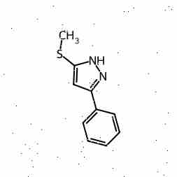 CSc1cc(-c2ccccc2)n[nH]1